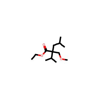 CCOC(=O)C(COC)(CC(C)C)C(C)C